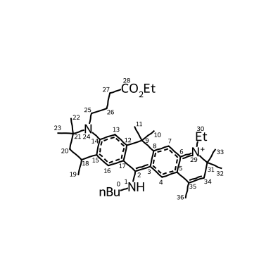 CCCCNC1=c2cc3c(cc2C(C)(C)c2cc4c(cc21)C(C)CC(C)(C)N4CCCC(=O)OCC)=[N+](CC)C(C)(C)C=C3C